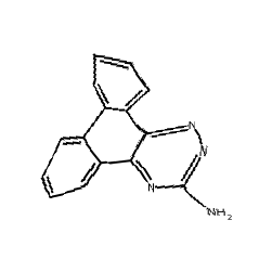 Nc1nnc2c3ccccc3c3ccccc3c2n1